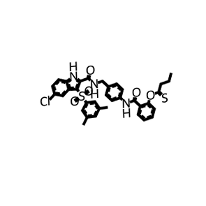 CCCC(=S)Oc1ccccc1C(=O)Nc1ccc(CNC(=O)c2[nH]c3ccc(Cl)cc3c2S(=O)(=O)c2cc(C)cc(C)c2)cc1